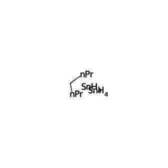 CCCCCCC.[SnH4].[SnH4]